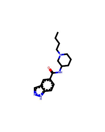 CCCCN1CCCC(NC(=O)c2ccc3[nH]ncc3c2)C1